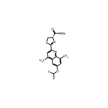 CNC(=O)[C@@H]1CSC(c2cc(C)c3cc(OC(F)F)cc(C(F)(F)F)c3n2)=N1